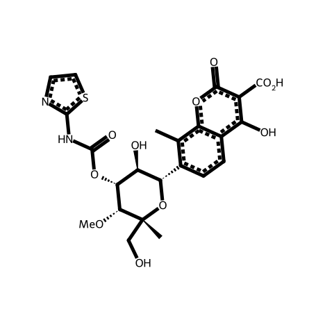 CO[C@@H]1[C@H](OC(=O)Nc2nccs2)[C@@H](O)[C@H](c2ccc3c(O)c(C(=O)O)c(=O)oc3c2C)O[C@]1(C)CO